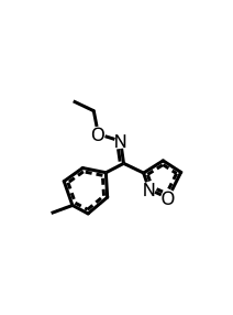 CCO/N=C(\c1ccc(C)cc1)c1ccon1